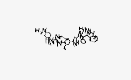 CCc1cc(-c2cc(NC(=O)[C@H](N)c3ccccc3)nn2C)cc2cnc(NC3CCC(N)CC3)nc12